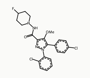 COc1c(C(=O)NN2CCC(F)CC2)nn(-c2ccccc2Cl)c1-c1ccc(Cl)cc1